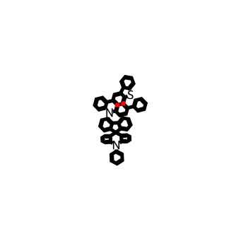 c1ccc(-c2ccc(N(c3ccccc3-c3ccc4sc5ccccc5c4c3)c3cccc4c3-c3ccccc3C43c4ccccc4N(c4ccccc4)c4ccccc43)cc2)cc1